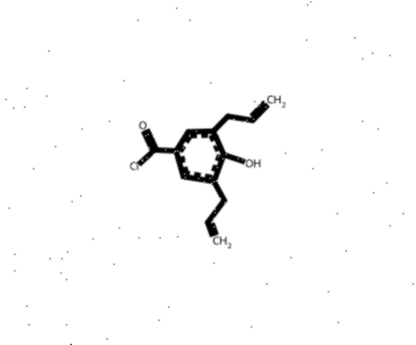 C=CCc1cc(C(=O)Cl)cc(CC=C)c1O